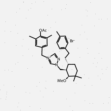 CO[C@H]1[C@@H](Cn2c[n+](Cc3cc(C)c(OC(C)=O)c(C)c3)cn2)[C@H](CCc2ccc(C)cc2)CCC1(C)C.[Br-]